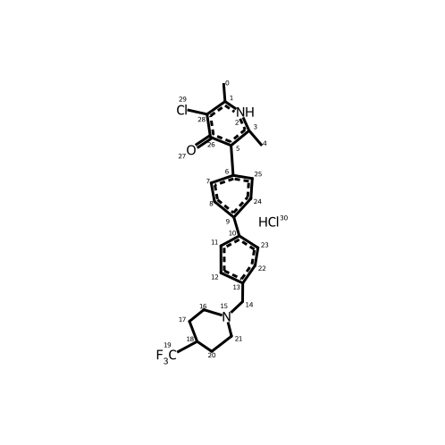 Cc1[nH]c(C)c(-c2ccc(-c3ccc(CN4CCC(C(F)(F)F)CC4)cc3)cc2)c(=O)c1Cl.Cl